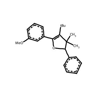 COc1cccc(C2=C(C(C)(C)C)C(C)(C)C(c3ccccc3)O2)c1